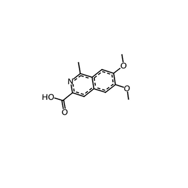 COc1cc2cc(C(=O)O)nc(C)c2cc1OC